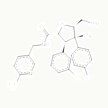 CC(C)(C)C[C@@H]1N[C@@H](C(=O)NCc2ccc(C(F)(F)F)nc2)[C@H](c2cccc(Cl)c2)[C@@]1(C#N)c1ccc(Cl)cc1